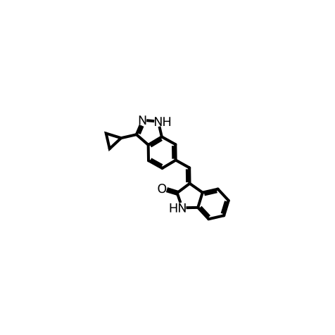 O=C1Nc2ccccc2C1=Cc1ccc2c(C3CC3)n[nH]c2c1